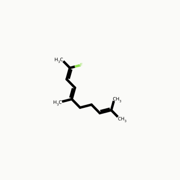 CC(C)=CCCC(C)=CC=C(C)F